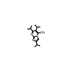 CC(C)c1cn2c(O)c(C(C)C)c(C(C)C)nc2n1